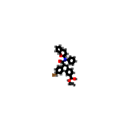 COC(=O)c1ccc(CC(C(=O)N(c2ccccc2)c2ccc3cccc-3o2)c2ccc(Br)cc2)cc1